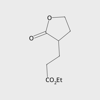 CCOC(=O)CCC1CCOC1=O